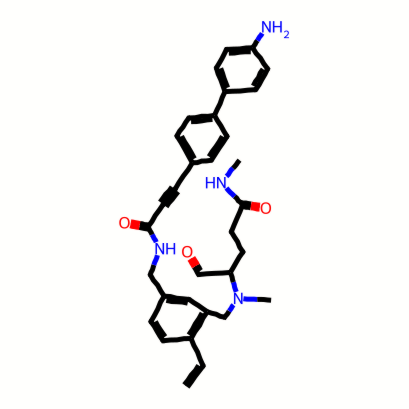 C=Cc1ccc(CNC(=O)C#Cc2ccc(-c3ccc(N)cc3)cc2)cc1CN(C)C(C=O)CCC(=O)NC